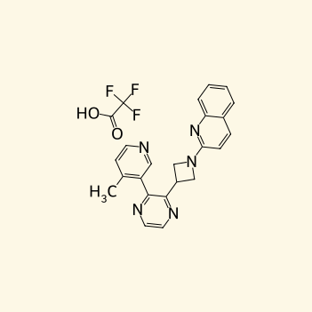 Cc1ccncc1-c1nccnc1C1CN(c2ccc3ccccc3n2)C1.O=C(O)C(F)(F)F